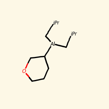 CC(C)[CH2][Al]([CH2]C(C)C)[CH]1CCCOC1